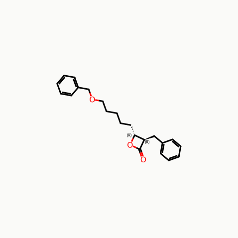 O=C1O[C@H](CCCCCOCc2ccccc2)[C@H]1Cc1ccccc1